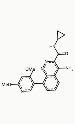 COc1cc(OC)c(-c2cccc3c(N)c(C(=O)NC4CC4)nnc23)cn1